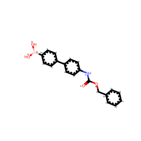 O=C(Nc1ccc(-c2ccc(B(O)O)cc2)cc1)OCc1ccccc1